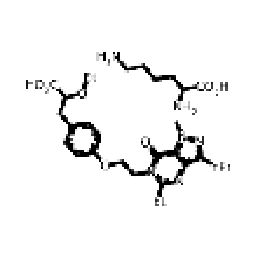 CCCc1nn(C)c2c(=O)n(CCOc3ccc(CC(OCC)C(=O)O)cc3)c(CC)nc12.NCCCCC(N)C(=O)O